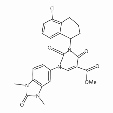 COC(=O)c1cn(-c2ccc3c(c2)n(C)c(=O)n3C)c(=O)n(C2CCCc3c(Cl)cccc32)c1=O